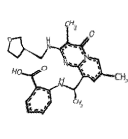 Cc1cc([C@@H](C)Nc2ccccc2C(=O)O)c2nc(NC[C@H]3CCOC3)c(C)c(=O)n2c1